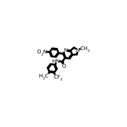 Cc1ccc(NC(=O)c2cc3c(nc2-c2ccc([N+](=O)[O-])cc2)CN(C)C3)cc1C(F)(F)F